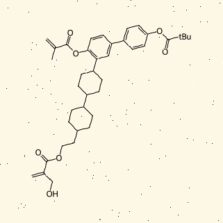 C=C(C)C(=O)Oc1ccc(-c2ccc(OC(=O)C(C)(C)C)cc2)cc1C1CCC(C2CCC(CCOC(=O)C(=C)CO)CC2)CC1